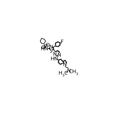 CN(C)CCn1ccc2cc(Nc3nccc(-c4sc(NS(=O)(=O)C5CCCCC5)nc4-c4ccc(F)cc4)n3)ccc21